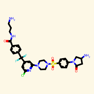 NCCCNC(=O)c1ccc(C(F)(F)c2cc(Cl)nc(N3CCN(S(=O)(=O)c4ccc(N5CC(N)CC5=O)cc4)CC3)c2)cc1